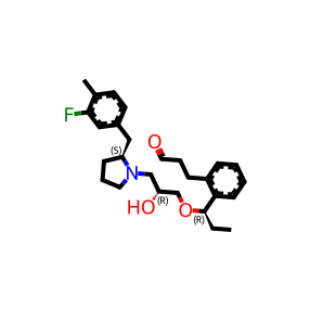 CC[C@@H](OC[C@H](O)CN1CCC[C@H]1Cc1ccc(C)c(F)c1)c1ccccc1CCC=O